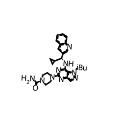 CCC(C)n1ncc2nc(N3CCN(C(N)=O)CC3)nc(N[C@@H](c3cnc4ccccc4c3)C3CC3)c21